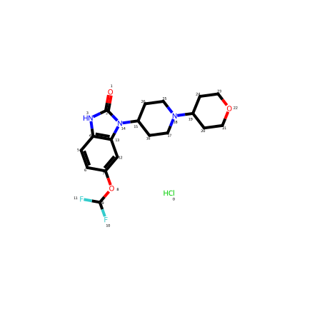 Cl.O=c1[nH]c2ccc(OC(F)F)cc2n1C1CCN(C2CCOCC2)CC1